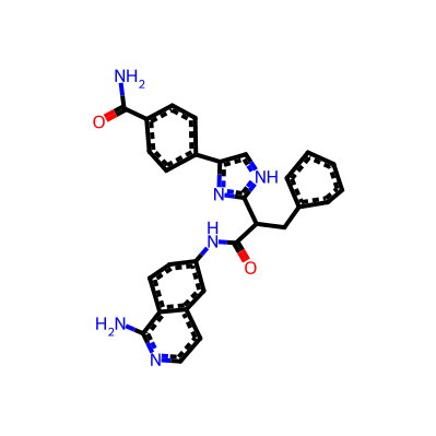 NC(=O)c1ccc(-c2c[nH]c(C(Cc3ccccc3)C(=O)Nc3ccc4c(N)nccc4c3)n2)cc1